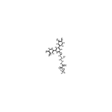 CC(C)(C)OC(=O)NCCC[C@@H](I)COc1cc(-c2ccc(F)c(F)c2)cc(-c2ccc(F)c(F)c2)c1